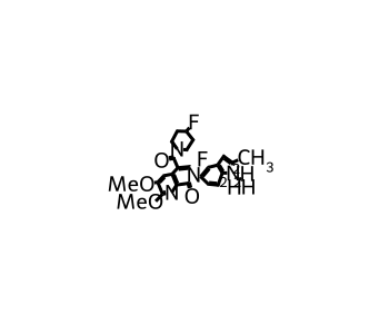 [2H]C([2H])([2H])n1c(C)cc2c(F)c(-n3cc(C(=O)N4CCC(F)CC4)c4cc(OC)c(OC)nc4c3=O)ccc21